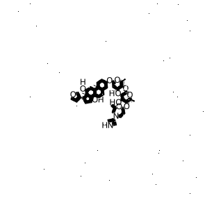 CC1CN(C2CNC2)CCC(O[C@@H]2[C@H](C)O[C@@H](O[C@@H]3[C@H](C)O[C@@H](O[C@H]4CC[C@@]5(C)C(CCC6C5C[C@H](O)[C@]5(C)[C@@H](C7=CCOC7)CC[C@]65O)C4)C[C@@H]3O)C[C@@H]2O)O1